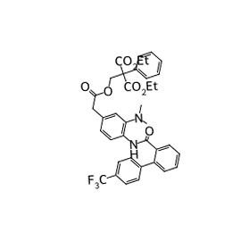 CCOC(=O)C(COC(=O)Cc1ccc(NC(=O)c2ccccc2-c2ccc(C(F)(F)F)cc2)c(N(C)C)c1)(C(=O)OCC)c1ccccc1